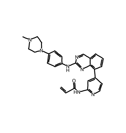 C=CC(=O)Nc1cc(-c2cccc3cnc(Nc4ccc(N5CCN(C)CC5)cc4)nc23)ccn1